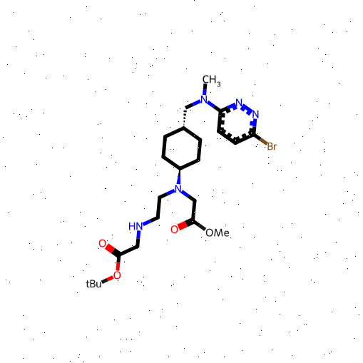 COC(=O)CN(CCNCC(=O)OC(C)(C)C)[C@H]1CC[C@H](CN(C)c2ccc(Br)nn2)CC1